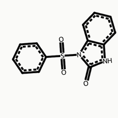 O=c1[nH]c2ccccc2n1S(=O)(=O)c1ccccc1